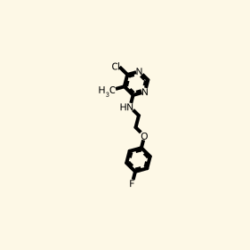 Cc1c(Cl)ncnc1NCCOc1ccc(F)cc1